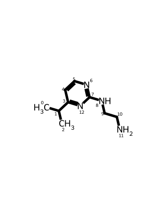 CC(C)c1ccnc(NCCN)n1